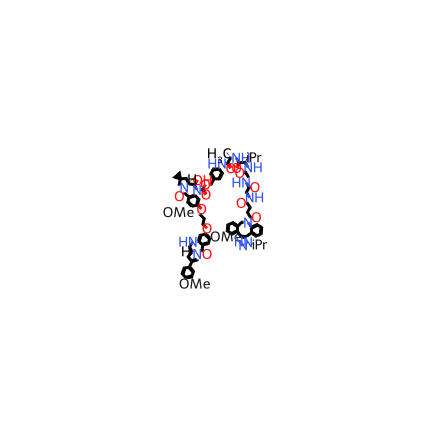 COc1ccc(C2=CN3C(=O)c4cc(OC)c(OCCCOc5cc6c(cc5OC)C(=O)N5CC7(CC7)C[C@H]5C(O)N6C(=O)OCc5ccc(NC(=O)[C@H](C)NC(=O)[C@@H](NC(=O)CNC(=O)CNC(=O)CCC(=O)N6Cc7ccccc7-c7nnn(C(C)C)c7-c7ccccc76)C(C)C)cc5)cc4NC[C@@H]3C2)cc1